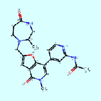 CC(=O)Nc1cc(-c2cn(C)c(=O)c3cc(CN4CCC(=O)NCC4C)oc23)ccn1